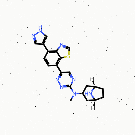 CN(c1ncc(-c2ccc(-c3cn[nH]c3)c3ncsc23)nn1)C1C[C@H]2CC[C@@H](C1)N2